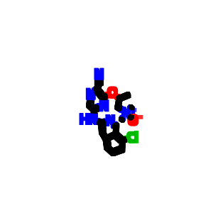 CC(C[N+](C)(C)[O-])Oc1nc(Nc2cc3cccc(Cl)c3cn2)cnc1C#N